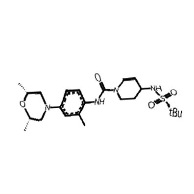 Cc1cc(N2C[C@@H](C)O[C@@H](C)C2)ccc1NC(=O)N1CCC(NS(=O)(=O)C(C)(C)C)CC1